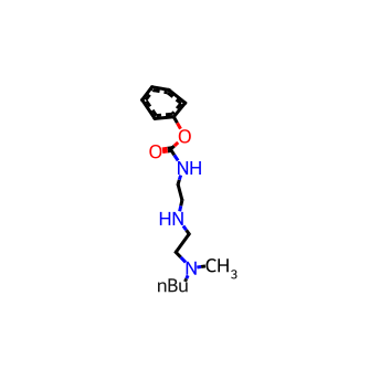 CCCCN(C)CCNCCNC(=O)Oc1ccccc1